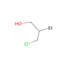 CCC(CO)CCl